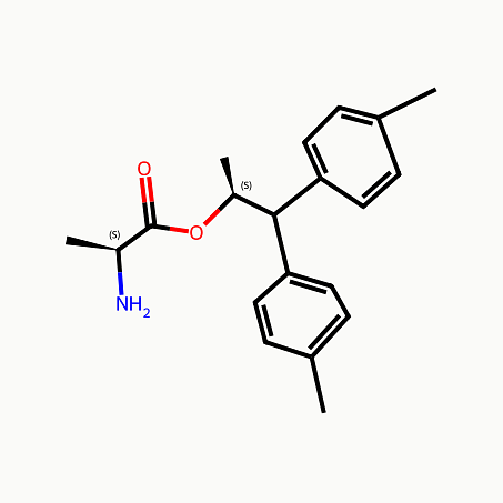 Cc1ccc(C(c2ccc(C)cc2)[C@H](C)OC(=O)[C@H](C)N)cc1